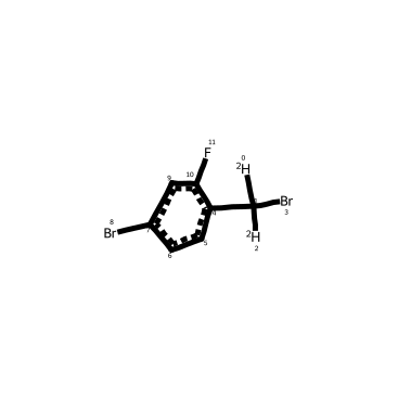 [2H]C([2H])(Br)c1ccc(Br)cc1F